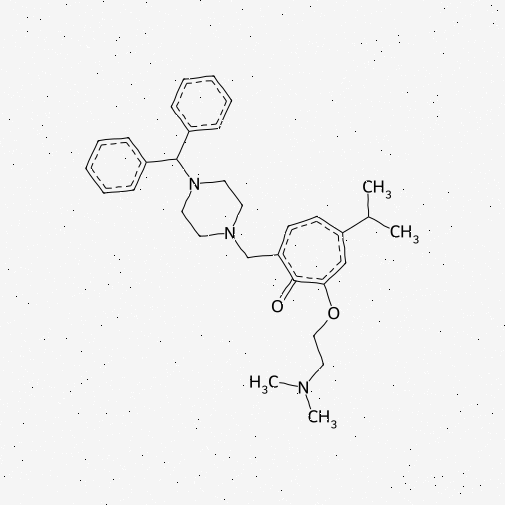 CC(C)c1ccc(CN2CCN(C(c3ccccc3)c3ccccc3)CC2)c(=O)c(OCCN(C)C)c1